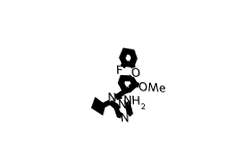 COc1cc(C2=NC(C3=CC=C3)=C3C=NC=C[N+]23N)ccc1Oc1ccccc1F